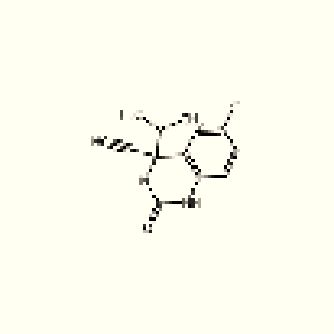 C#CC1(C(C)C)NC(=O)Nc2ccc(Cl)cc21